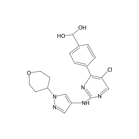 OC(O)c1ccc(-c2nc(Nc3cnn(C4CCOCC4)c3)ncc2Cl)cc1